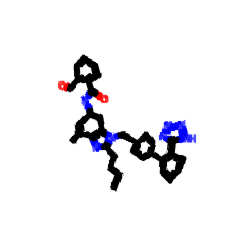 CCCCc1nc2c(n1Cc1ccc(-c3ccccc3-c3nnn[nH]3)cc1)CC(=NC(=O)c1ccccc1C=O)C=C2C